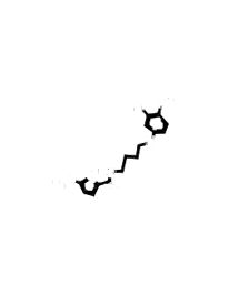 Cc1ccc(C(=O)NCCCCOc2ccc(O)c(Cl)c2)s1